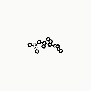 C1=C(c2ccc(-c3ccc(-c4cccc(-c5nc(-c6ccccc6)nc(-c6ccccc6)n5)c4)c4ccccc34)c3c2ccc2ccccc23)Cc2c1ccc1c2Cc2ccccc2-1